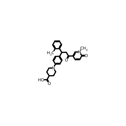 Cc1ccccc1C(CC(=O)c1ccc(=O)n(C)c1)c1ccc(N2CCC(C(=O)O)CC2)cc1